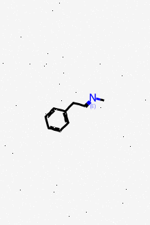 C/N=C/Cc1ccccc1